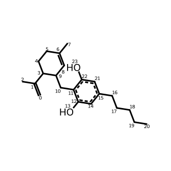 C=C(C)C1CCC(C)=CC1Cc1c(O)cc(CCCCC)cc1O